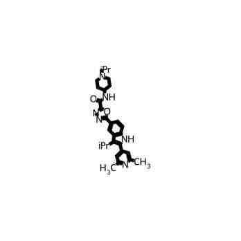 Cc1cc(-c2[nH]c3ccc(-c4nnc(C(=O)NC5CCN(C(C)C)CC5)o4)cc3c2C(C)C)cc(C)n1